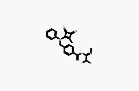 C=C(O/C(=N\C)C(F)F)c1ccc(CN(c2ccccc2)c2c(C)c(=O)c2=O)cc1